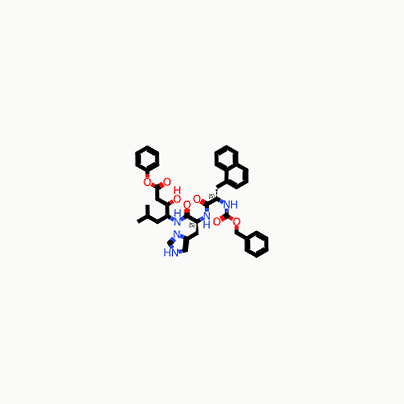 CC(C)CC(NC(=O)[C@H](Cc1c[nH]cn1)NC(=O)[C@H](Cc1cccc2ccccc12)NC(=O)OCc1ccccc1)C(O)CC(=O)Oc1ccccc1